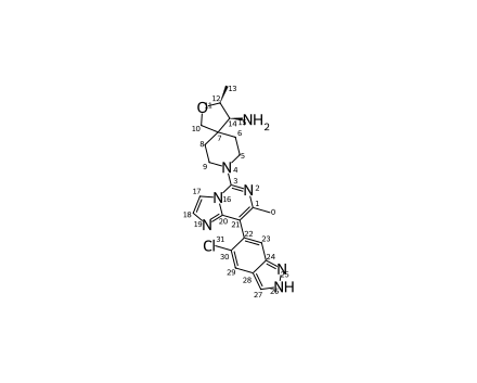 Cc1nc(N2CCC3(CC2)CO[C@@H](C)[C@H]3N)n2ccnc2c1-c1cc2n[nH]cc2cc1Cl